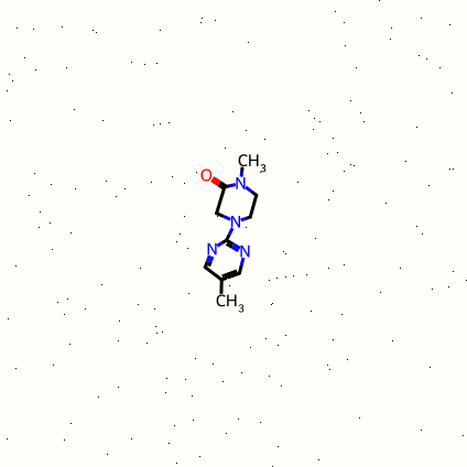 Cc1cnc(N2CCN(C)C(=O)C2)nc1